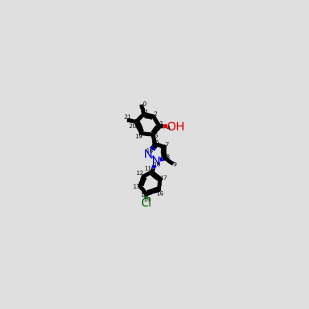 Cc1cc(O)c(-c2cc(C)n(-c3ccc(Cl)cc3)n2)cc1C